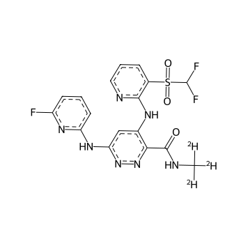 [2H]C([2H])([2H])NC(=O)c1nnc(Nc2cccc(F)n2)cc1Nc1ncccc1S(=O)(=O)C(F)F